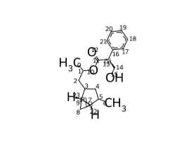 CC(CC1CC(C)[C@@H]2C[C@H]12)OC(=O)[C@H](CO)c1ccccc1